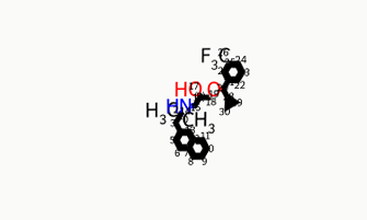 CC(C)(Cc1ccc2ccccc2c1)NC[C@@H](O)COC(c1cccc(C(F)(F)F)c1)C1CC1